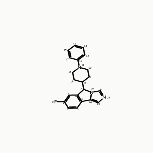 Fc1ccc2c(c1)C(C1CCN(c3ccccc3)CC1)n1cncc1-2